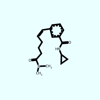 CN(C)C(=O)CCC/C=C\c1cccc(C(=O)NC2CC2)c1